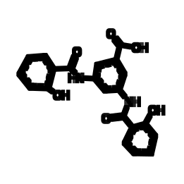 O=C(O)c1cc(NC(=O)c2ccccc2O)cc(NC(=O)c2ccccc2O)c1